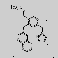 O=C(O)C=Cc1ccc(Cn2cccn2)cc1Cc1ccc2ccccc2c1